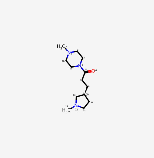 CN1CCN(C(=O)CC[C@H]2CCN(C)C2)CC1